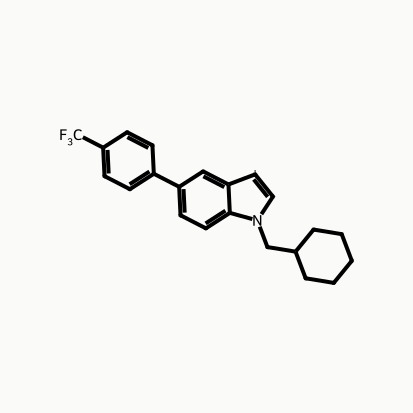 FC(F)(F)c1ccc(-c2ccc3c([c]cn3CC3CCCCC3)c2)cc1